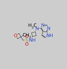 CN(c1ncnc2[nH]ccc12)[C@H]1C[C@@H](NS(=O)(=O)CC2(C)COC2)C1